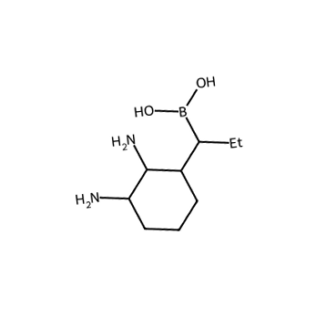 [CH2]CC(B(O)O)C1CCCC(N)C1N